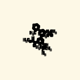 CCNC(=O)c1cc(-c2nc(N=S(C)(C)=O)cc(N3CCOCC3C)n2)cc(NC(C)(C)C)n1